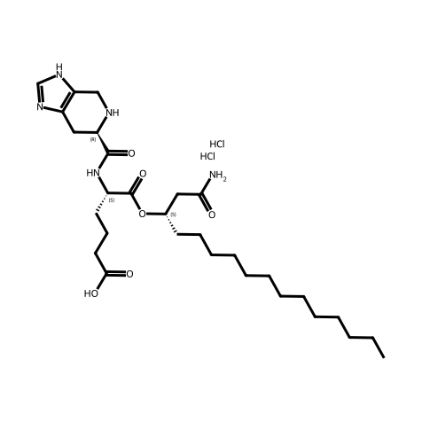 CCCCCCCCCCCCC[C@@H](CC(N)=O)OC(=O)[C@H](CCCC(=O)O)NC(=O)[C@H]1Cc2nc[nH]c2CN1.Cl.Cl